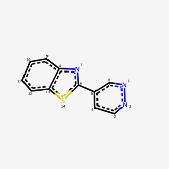 [c]1nnccc1-c1nc2ccccc2s1